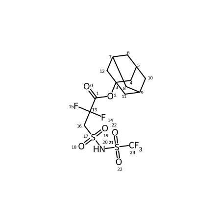 O=C(OC12CC3CC(CC(C3)C1)C2)C(F)(F)CS(=O)(=O)NS(=O)(=O)C(F)(F)F